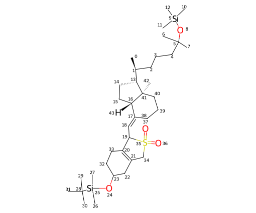 C[C@@H](CCCC(C)(C)O[Si](C)(C)C)[C@H]1CC[C@H]2/C(=C/C3C4=C(CC(O[Si](C)(C)C(C)(C)C)CC4)CS3(=O)=O)CCC[C@]12C